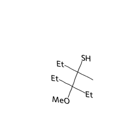 CCC(C)(S)C(CC)(CC)OC